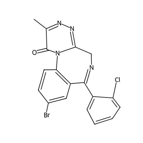 Cc1nnc2n(c1=O)-c1ccc(Br)cc1C(c1ccccc1Cl)=NC2